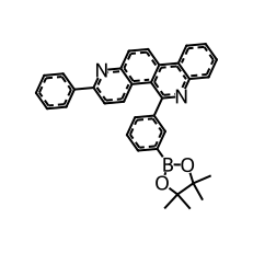 CC1(C)OB(c2cccc(-c3nc4ccccc4c4ccc5nc(-c6ccccc6)ccc5c34)c2)OC1(C)C